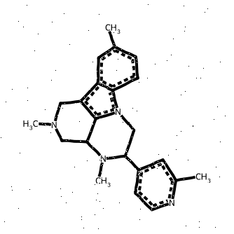 Cc1ccc2c(c1)c1c3n2CC(c2ccnc(C)c2)N(C)C3CN(C)C1